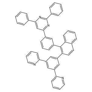 c1ccc(-c2cc(-c3cccc(-c4c(-c5cc(-c6ccccn6)cc(-c6ccccn6)c5)ccc5ccccc45)c3)nc(-c3ccccc3)n2)cc1